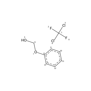 FC(F)(Cl)Cl.OCOc1ccccc1